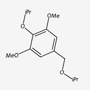 COc1cc(COC(C)C)cc(OC)c1OC(C)C